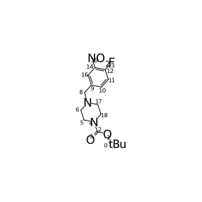 CC(C)(C)OC(=O)N1CCN(Cc2ccc(F)c([N+](=O)[O-])c2)CC1